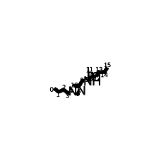 CCCCn1cnc(CNB(I)OCCC)c1